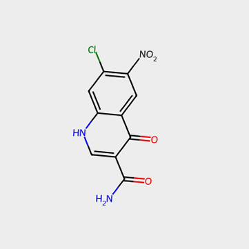 NC(=O)c1c[nH]c2cc(Cl)c([N+](=O)[O-])cc2c1=O